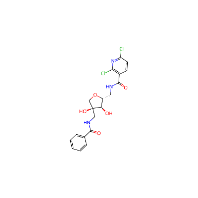 O=C(NC[C@]1(O)CO[C@H](CNC(=O)c2ccc(Cl)nc2Cl)[C@H]1O)c1ccccc1